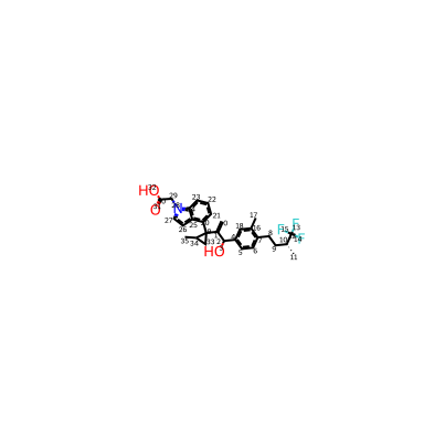 C=C(C(O)c1ccc(CC[C@@H](C)C(F)(F)F)c(C)c1)C1(c2cccc3c2ccn3CC(=O)O)CC1C